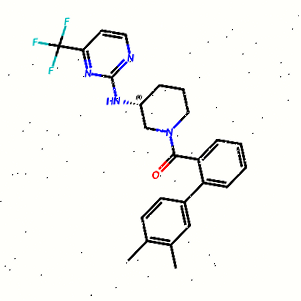 Cc1ccc(-c2ccccc2C(=O)N2CCC[C@@H](Nc3nccc(C(F)(F)F)n3)C2)cc1C